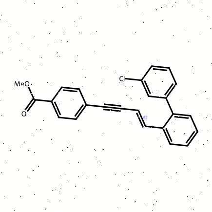 COC(=O)c1ccc(C#C/C=C/c2ccccc2-c2cccc(Cl)c2)cc1